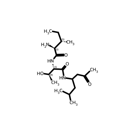 CC[C@H](C)[C@H](N)C(=O)N[C@H](C(=O)NC(CC(C)=O)CC(C)C)[C@@H](C)O